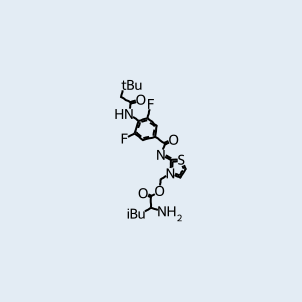 CCC(C)C(N)C(=O)OCn1ccs/c1=N\C(=O)c1cc(F)c(NC(=O)CC(C)(C)C)c(F)c1